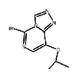 CC(C)Oc1cnc(Br)n2cnnc12